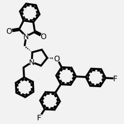 O=C1c2ccccc2C(=O)N1C[C@@H]1C[C@H](Oc2cc(-c3ccc(F)cc3)cc(-c3ccc(F)cc3)c2)CN1Cc1ccccc1